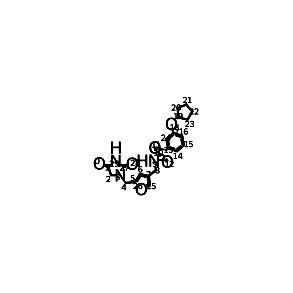 O=C1CN(Cc2cc(CNS(=O)(=O)c3cccc(OC4CCCC4)c3)co2)C(=O)N1